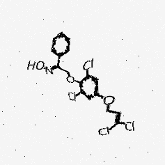 ON=C(COc1c(Cl)cc(OCC=C(Cl)Cl)cc1Cl)c1ccccc1